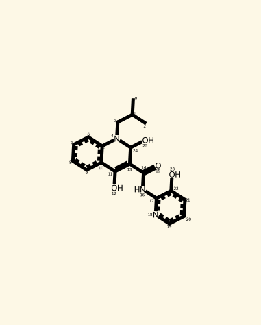 CC(C)CN1c2ccccc2C(O)=C(C(=O)Nc2ncccc2O)C1O